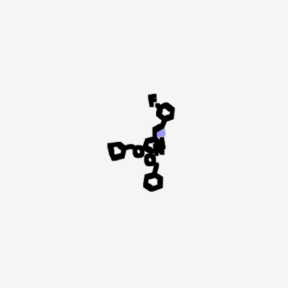 Fc1cccc(/C=C/c2cc(OCc3ccccc3)c(OCc3ccccc3)nn2)c1